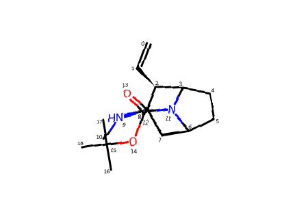 C=C[C@H]1C2CCC(C[C@H]1NC)N2C(=O)OC(C)(C)C